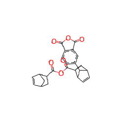 O=C1OC(=O)c2cc(C3C4C=CC3C(C(=O)OC(=O)C3CC5C=CC3C5)C4)ccc21